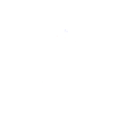 CN(C)S(=O)(=O)CCc1ccc(C(F)(F)F)cc1